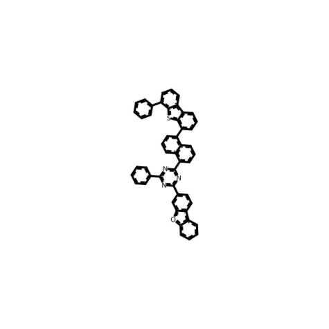 c1ccc(-c2nc(-c3ccc4c(c3)oc3ccccc34)nc(-c3cccc4c(-c5cccc6c5sc5c(-c7ccccc7)cccc56)cccc34)n2)cc1